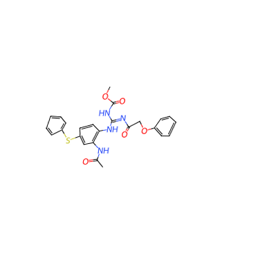 COC(=O)N/C(=N/C(=O)COc1ccccc1)Nc1ccc(Sc2ccccc2)cc1NC(C)=O